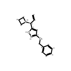 C=C[C@@H](c1cc(OCc2ccccc2)no1)N1CCC1